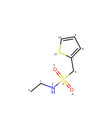 CCNS(=O)(=O)Cc1cccs1